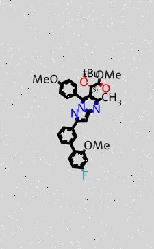 COC(=O)[C@@H](OC(C)(C)C)c1c(C)nc2cc(-c3cccc(-c4ccc(F)cc4OC)c3)nn2c1-c1ccc(OC)cc1